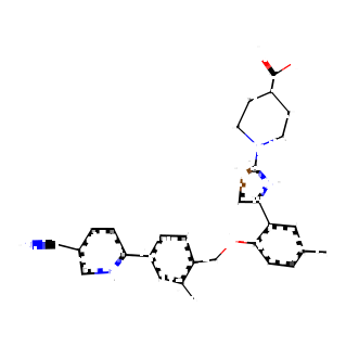 Cc1ccc(OCc2ccc(-c3ccc(C#N)cn3)cc2C)c(-c2csc(N3CCC(C(=O)O)CC3)n2)c1